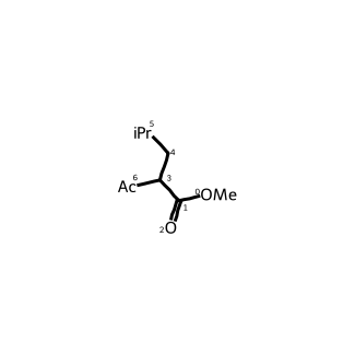 COC(=O)C(CC(C)C)C(C)=O